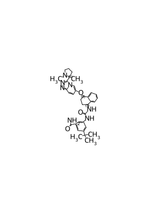 CN1CCC[C@@]1(C)c1nnc2ccc(O[C@@H]3CC[C@H](NC(=O)Nc4cc(C(N)=O)cc(C(C)(C)C)c4)c4ccccc43)cn12